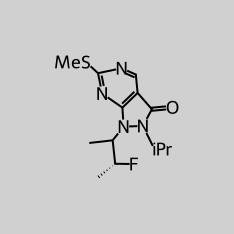 CSc1ncc2c(=O)n(C(C)C)n(C(C)[C@@H](C)F)c2n1